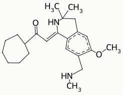 CNCc1cc2c(cc1OC)CC(C)(C)NC2=CC(=O)C1CCCCCC1